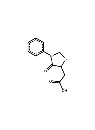 O=C(O)CC1SCN(c2ccccc2)C1=O